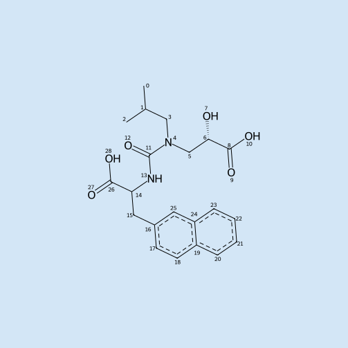 CC(C)CN(C[C@H](O)C(=O)O)C(=O)NC(Cc1ccc2ccccc2c1)C(=O)O